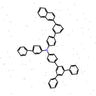 c1ccc(-c2ccc(N(c3ccc(-c4cccc(-c5ccc6ccccc6c5)c4)cc3)c3ccc(-c4cc(-c5ccccc5)cc(-c5ccccc5)c4)cc3)cc2)cc1